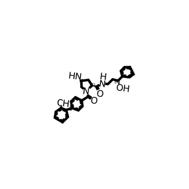 Cc1ccccc1-c1ccc(C(=O)N2CC(=N)C[C@H]2C(=O)NCC[C@@H](O)c2ccccc2)cc1